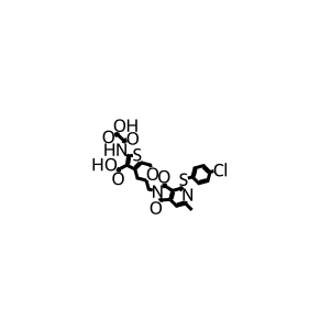 Cc1cc2c(c(Sc3ccc(Cl)cc3)n1)C(=O)N(CC1Cc3c(sc(NC(=O)C(=O)O)c3C(=O)O)CO1)C2=O